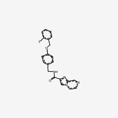 O=C(NCc1ccc(OCc2ccccc2F)cc1)c1cn2ccncc2n1